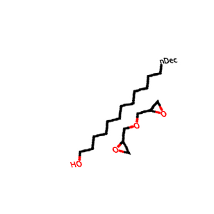 C(OCC1CO1)C1CO1.CCCCCCCCCCCCCCCCCCCCCCO